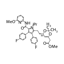 COC(=O)CC1=C[C@@H](CCc2c(-c3ccc(F)cc3)c(-c3ccc(F)cc3)c(C(=O)Nc3cccc(OC)n3)n2C(C)C)OC(C)(C)O1